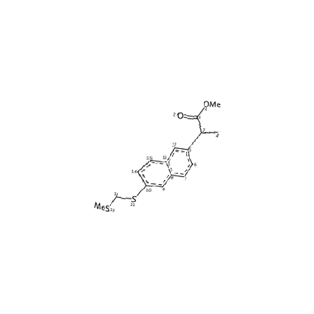 COC(=O)C(C)c1ccc2cc(SCSC)ccc2c1